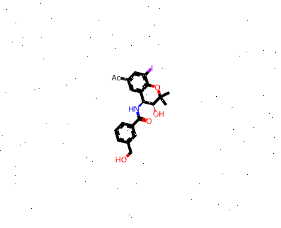 CC(=O)c1cc(I)c2c(c1)[C@H](NC(=O)c1cccc(CO)c1)[C@@H](O)C(C)(C)O2